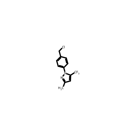 Cc1cc(C(F)(F)F)n(-c2ccc(CCl)cc2)n1